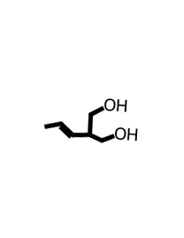 CC=CC(CO)CO